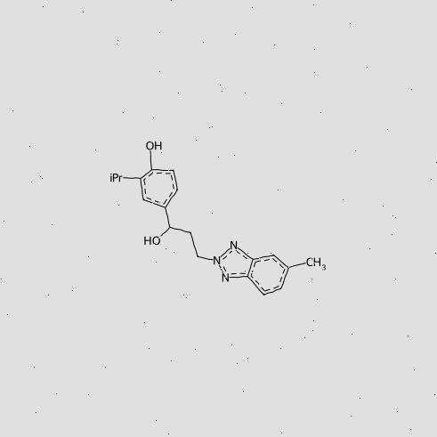 Cc1ccc2nn(CCC(O)c3ccc(O)c(C(C)C)c3)nc2c1